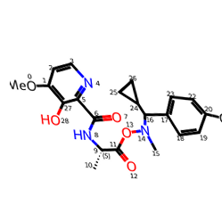 COc1ccnc(C(=O)N[C@@H](C)C(=O)ON(C)C(c2ccc(C(F)(F)F)cc2)C2CC2)c1O